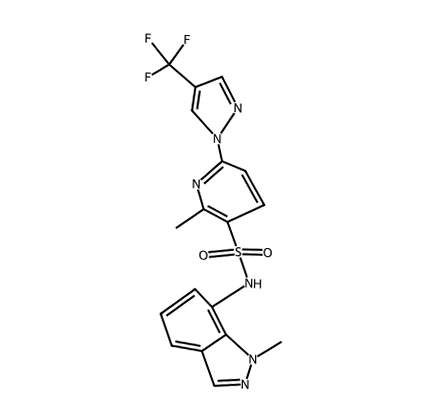 Cc1nc(-n2cc(C(F)(F)F)cn2)ccc1S(=O)(=O)Nc1cccc2cnn(C)c12